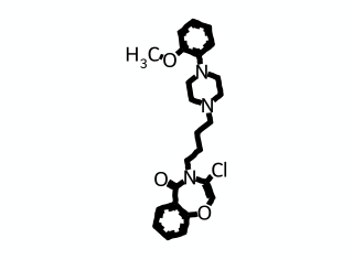 COc1ccccc1N1CCN(CCCCN2C(=O)c3ccccc3OC=C2Cl)CC1